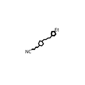 CCc1ccc(CCCCC2CCC(C=CC=CC#N)CC2)cc1